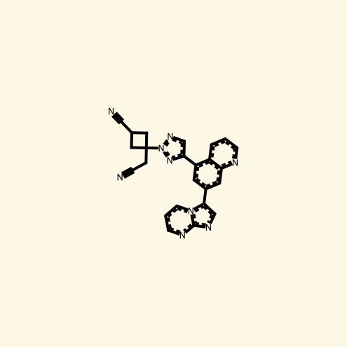 N#CCC1(n2ncc(-c3cc(-c4cnc5ncccn45)cc4ncccc34)n2)CC(C#N)C1